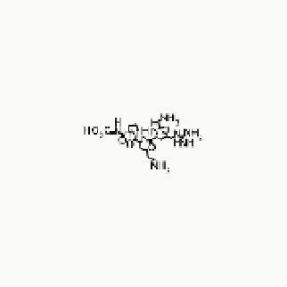 N=C(N)NCCC[C@H](NC(=O)CN)C(=O)N[C@@H](CCCCN)C(=O)N1CCC[C@H]1C(=O)NCC(=O)O